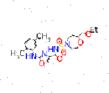 CCOCC1CCN(S(=O)(=O)NC(=O)c2coc(Nc3cc(C)ccc3C)n2)CCO1